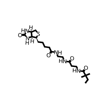 CCC(C)(C)C(=O)NCCC(=O)NCCNC(=O)CCCC[C@@H]1SC[C@@H]2NC(=O)N[C@@H]21